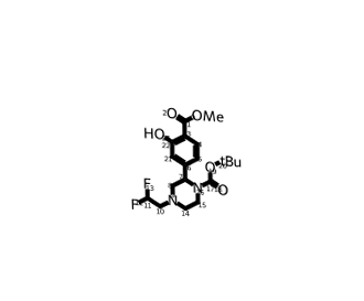 COC(=O)c1ccc(C2CN(CC(F)F)CCN2C(=O)OC(C)(C)C)cc1O